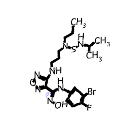 CCCN(CCCNc1nonc1/C(=N/O)Nc1ccc(F)c(Br)c1)SNC(C)C